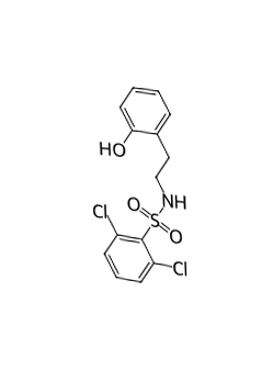 O=S(=O)(NCCc1ccccc1O)c1c(Cl)cccc1Cl